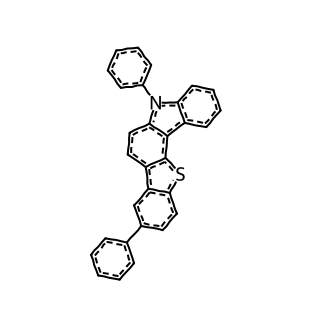 c1ccc(-c2ccc3sc4c(ccc5c4c4ccccc4n5-c4ccccc4)c3c2)cc1